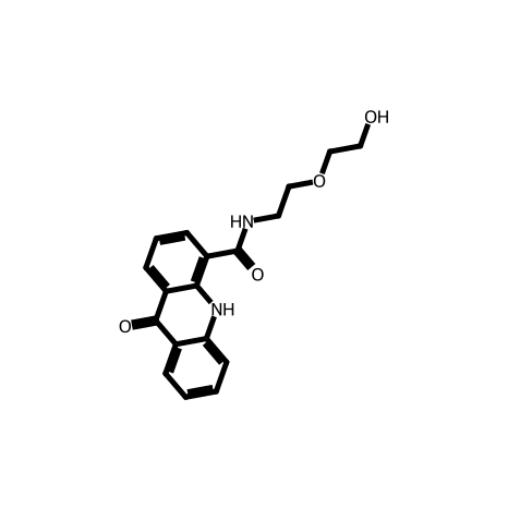 O=C(NCCOCCO)c1cccc2c(=O)c3ccccc3[nH]c12